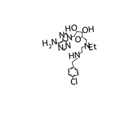 CCN(CCNCCc1ccc(Cl)cc1)C[C@H]1O[C@@H](n2cnc3c(N)ncnc32)[C@H](O)[C@@H]1O